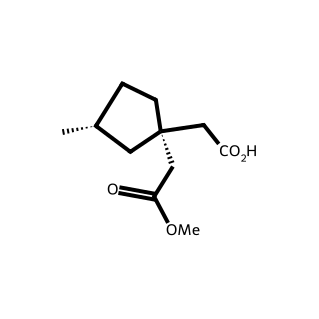 COC(=O)C[C@@]1(CC(=O)O)CC[C@@H](C)C1